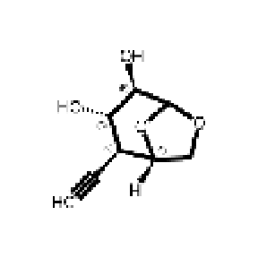 C#C[C@H]1[C@H](O)[C@@H](O)C2OC[C@H]1O2